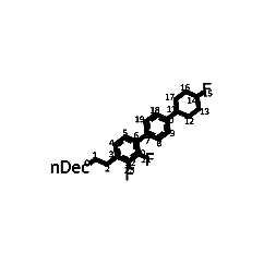 CCCCCCCCCCCCc1ccc(-c2ccc(C3CCC(F)CC3)cc2)c(F)c1F